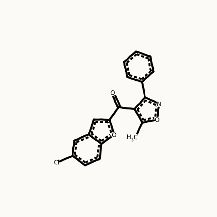 Cc1onc(-c2ccccc2)c1C(=O)c1cc2cc(Cl)ccc2o1